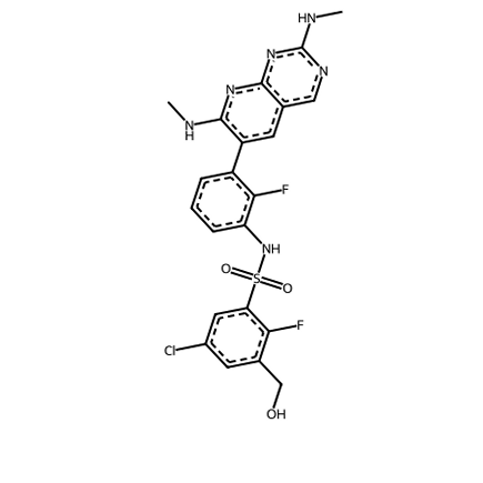 CNc1ncc2cc(-c3cccc(NS(=O)(=O)c4cc(Cl)cc(CO)c4F)c3F)c(NC)nc2n1